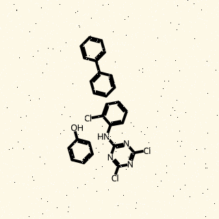 Clc1nc(Cl)nc(Nc2ccccc2Cl)n1.Oc1ccccc1.c1ccc(-c2ccccc2)cc1